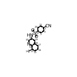 N#Cc1ccc(S(=O)(=O)Nc2cnc3c(I)cccc3c2)cc1